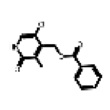 O=C(OCc1c(Cl)c[nH]c(=O)c1I)c1ccccc1